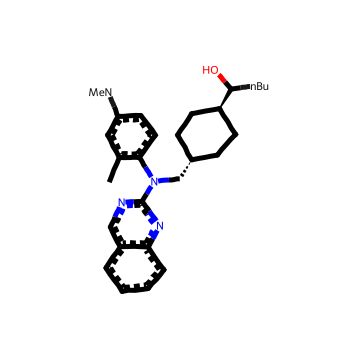 CCCCC(O)[C@H]1CC[C@H](CN(c2ncc3ccccc3n2)c2ccc(NC)cc2C)CC1